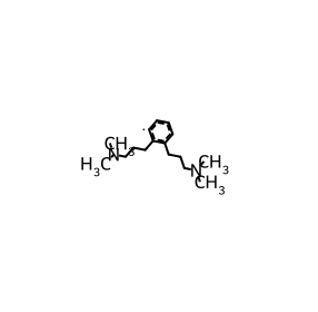 CN(C)CCCc1[c]cccc1CCCN(C)C